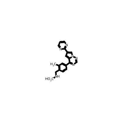 Cc1cc(-c2ncnn3cc(-c4ncccn4)cc23)ccc1CNC(=O)O